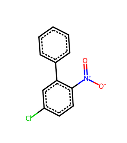 O=[N+]([O-])c1ccc(Cl)cc1-c1ccccc1